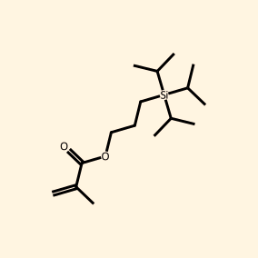 C=C(C)C(=O)OCCC[Si](C(C)C)(C(C)C)C(C)C